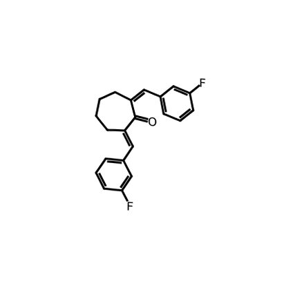 O=C1C(=Cc2cccc(F)c2)CCCCC1=Cc1cccc(F)c1